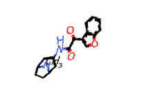 CN1C2CCC1CC(NC(=O)C(=O)c1coc3ccccc13)C2